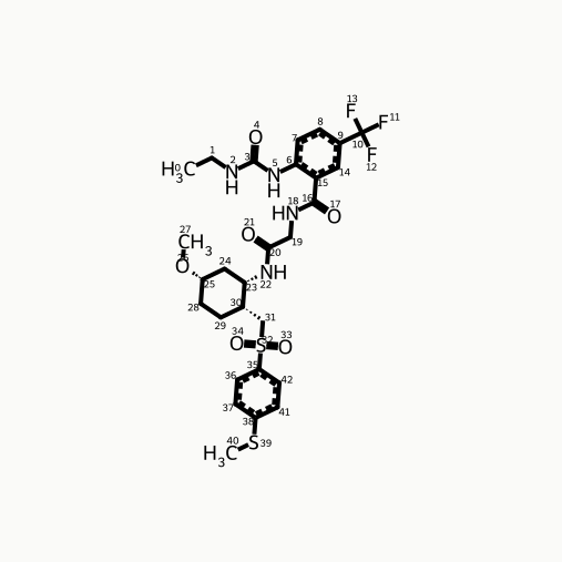 CCNC(=O)Nc1ccc(C(F)(F)F)cc1C(=O)NCC(=O)N[C@H]1C[C@@H](OC)CC[C@H]1CS(=O)(=O)c1ccc(SC)cc1